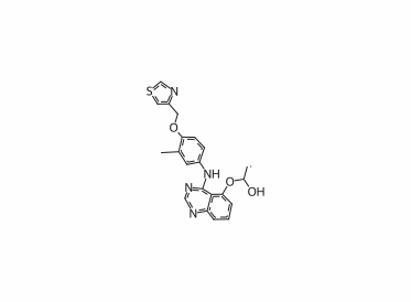 [CH2]C(O)Oc1cccc2ncnc(Nc3ccc(OCc4cscn4)c(C)c3)c12